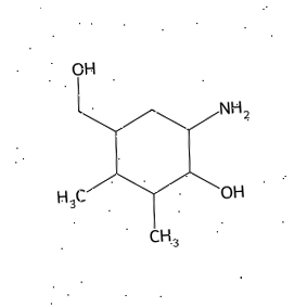 CC1C(CO)CC(N)C(O)C1C